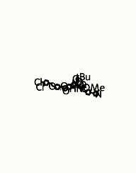 COC(=O)[C@H](Cc1ccc(-c2ccnc(C)c2C)cc1)NC(=O)[C@@H]1Cc2cc3c(cc2CN1C(=O)OC(C)(C)C)O[C@@H](c1ccc(OCc2ccc(Cl)c(Cl)c2)cc1)CO3